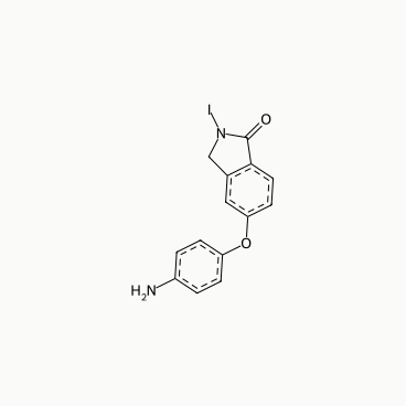 Nc1ccc(Oc2ccc3c(c2)CN(I)C3=O)cc1